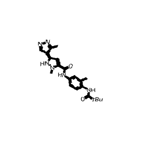 CC1=NN=CC1=C1C=C(C(=O)Nc2ccc(NC(=O)C(C)(C)C)c(C)c2)N(C)N1